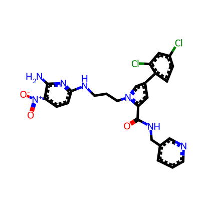 Nc1nc(NCCCn2cc(-c3ccc(Cl)cc3Cl)cc2C(=O)NCc2cccnc2)ccc1[N+](=O)[O-]